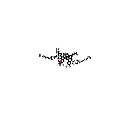 CCSCCCCN1CCN(C(=S)Sc2c3cc(N)ccc3c(C3C[C@@H]4C=C[C@H](C4)C(=Cc4c5ccc(N)cc5c(SC(=S)N5CCN(CCCCSC(C)C)CC5)c5cc(N)ccc45)C3=C3C=CC(=O)C=C3)c3ccc(N)cc23)CC1